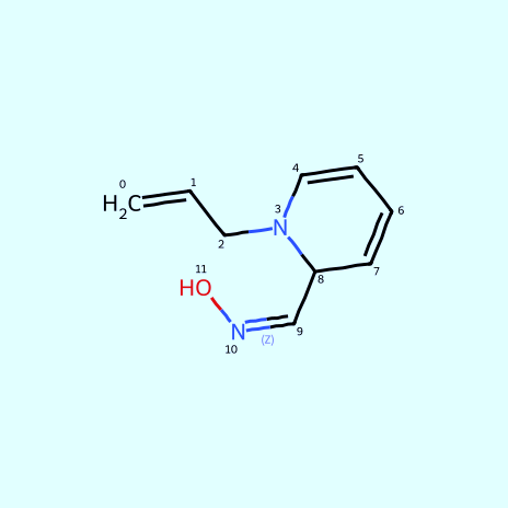 C=CCN1C=CC=CC1/C=N\O